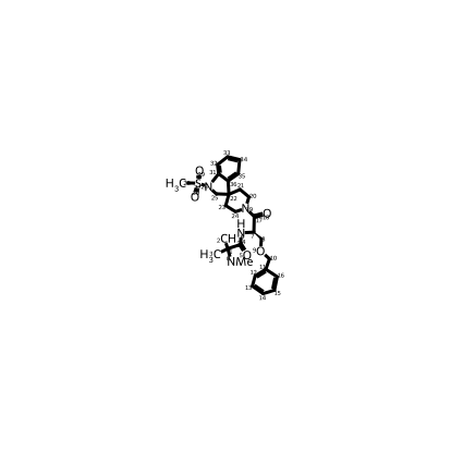 CNC(C)(C)C(=O)N[C@H](COCc1ccccc1)C(=O)N1CCC2(CC1)CN(S(C)(=O)=O)c1ccccc12